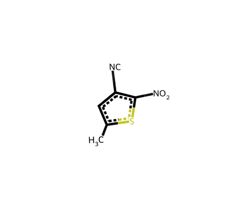 [C-]#[N+]c1cc(C)sc1[N+](=O)[O-]